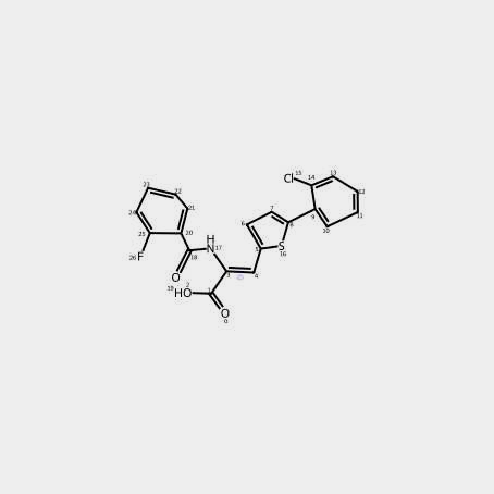 O=C(O)/C(=C/c1ccc(-c2ccccc2Cl)s1)NC(=O)c1ccccc1F